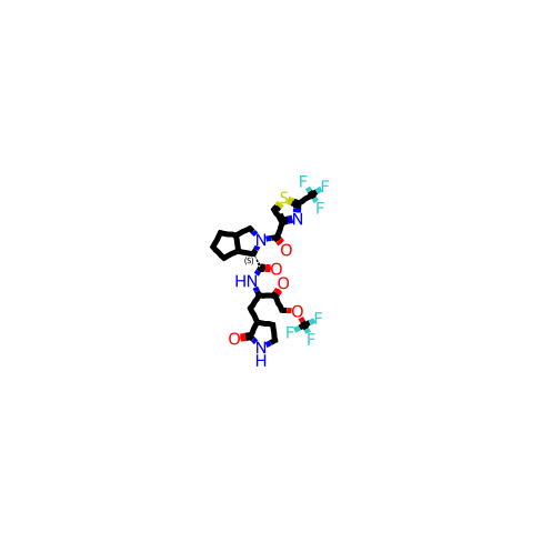 O=C1NCCC1CC(NC(=O)[C@@H]1C2CCCC2CN1C(=O)c1csc(C(F)(F)F)n1)C(=O)COC(F)(F)F